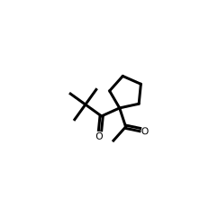 CC(=O)C1(C(=O)C(C)(C)C)CCCC1